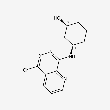 O[C@H]1CCC[C@@H](Nc2nnc(Cl)c3cccnc23)C1